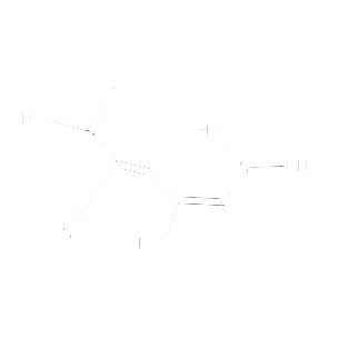 CC(=CN(C)C)C=C(C#N)C(=O)O